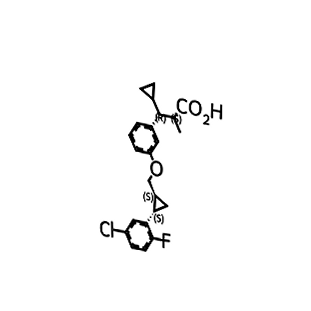 C[C@H](C(=O)O)[C@H](c1cccc(OC[C@H]2C[C@@H]2c2cc(Cl)ccc2F)c1)C1CC1